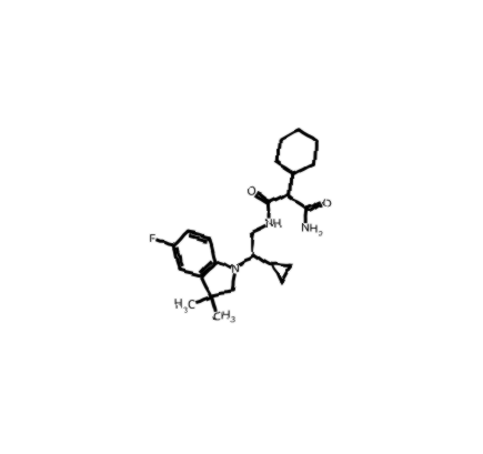 CC1(C)CN([C@@H](CNC(=O)C(C(N)=O)C2CCCCC2)C2CC2)c2ccc(F)cc21